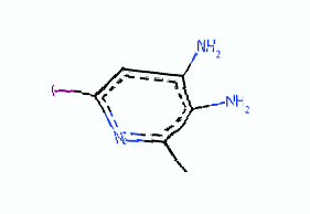 Cc1nc(I)cc(N)c1N